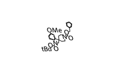 COc1ccc2c(c1)C1(CCN(C(=O)OCc3ccccc3)CC1)CN2C(=O)OC(C)(C)C